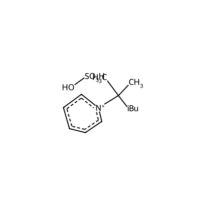 CCC(C)C(C)(C)[n+]1ccccc1.O=S(=O)(O)O